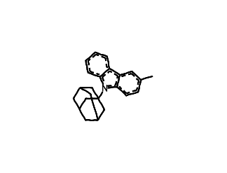 Cc1ccc2c(c1)c1ccccc1n2C12CC3CC(CC(C3)C1)C2